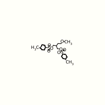 COCCC(COS(=O)(=O)c1ccc(C)cc1)COS(=O)(=O)c1ccc(C)cc1